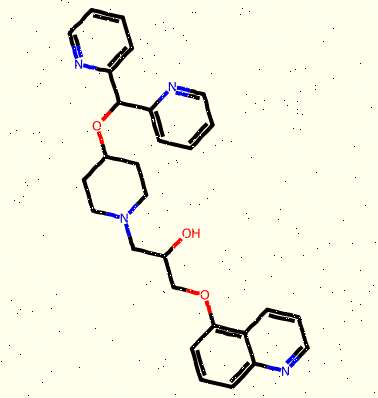 OC(COc1cccc2ncccc12)CN1CCC(OC(c2ccccn2)c2ccccn2)CC1